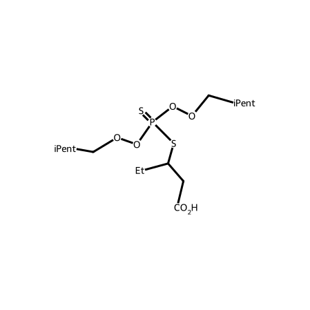 CCCC(C)COOP(=S)(OOCC(C)CCC)SC(CC)CC(=O)O